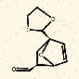 O=C[C@H]1C[C@]2(C3OCCO3)C=CC1O2